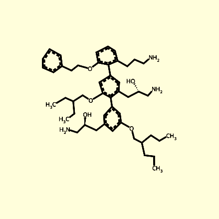 CCCC(CCC)COc1cc(C[C@H](O)CN)cc(-c2c(C[C@H](O)CN)cc(-c3c(CCCN)cccc3OCCc3ccccc3)cc2OCC(CC)CC)c1